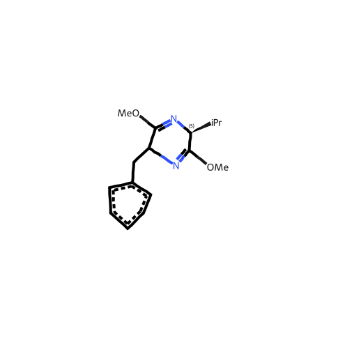 COC1=N[C@@H](C(C)C)C(OC)=NC1Cc1ccccc1